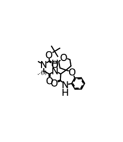 C[C@@H](C(=O)NC1C(=O)Nc2ccccc2OC12CCOCC2)N(C)C(=O)OC(C)(C)C